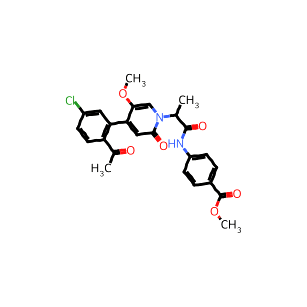 COC(=O)c1ccc(NC(=O)C(C)n2cc(OC)c(-c3cc(Cl)ccc3C(C)=O)cc2=O)cc1